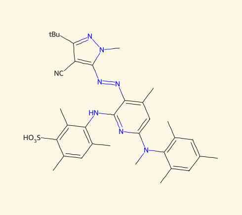 Cc1cc(C)c(N(C)c2cc(C)c(N=Nc3c(C#N)c(C(C)(C)C)nn3C)c(Nc3c(C)cc(C)c(S(=O)(=O)O)c3C)n2)c(C)c1